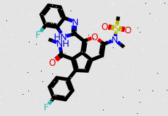 CNC(=O)c1c(-c2ccc(F)cc2)cc2cc(N(C)S(C)(=O)=O)oc(-c3nc4cccc(F)c4[nH]3)c1-2